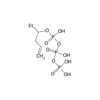 C=CCC(CC)OP(=O)(O)OP(=O)(O)OP(=O)(O)O